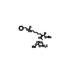 CC(C)(C)OC(=O)N[C@H](CNN(CCCCCNC(=O)OCc1ccccc1)C(=O)OC(C)(C)C)CC(=O)O